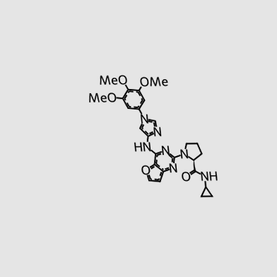 COc1cc(-n2cnc(Nc3nc(N4CCC[C@H]4C(=O)NC4CC4)nc4ccoc34)c2)cc(OC)c1OC